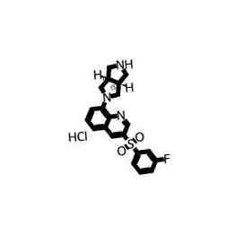 Cl.O=S(=O)(c1cccc(F)c1)c1cnc2c(N3C[C@H]4CNC[C@H]4C3)cccc2c1